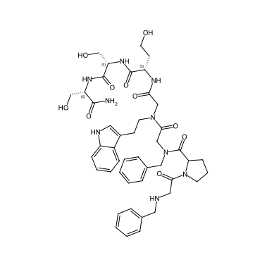 NC(=O)[C@H](CO)NC(=O)[C@H](CO)NC(=O)[C@H](CCO)NC(=O)CN(CCc1c[nH]c2ccccc12)C(=O)CN(Cc1ccccc1)C(=O)C1CCCN1C(=O)CNCc1ccccc1